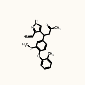 COc1cc(C(CC(C)=O)c2c[nH]nc2C=N)ccc1Oc1ccccc1C